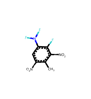 Cc1c([N+](=O)[O-])cc(N(F)F)c(F)c1[N+](=O)[O-]